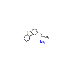 CC(=Cc1ccc2sc3ccccc3c2c1)CN